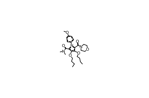 CCCCOc1c(OCCCC)c(C(=O)N2CCOCC2)n(-c2ccc(OC)cc2)c1C(=O)N(C)C